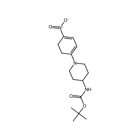 CC(C)(C)OC(=O)NC1CCN(C2=CC=C([N+](=O)[O-])CC2)CC1